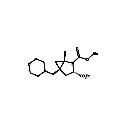 CCOC(=O)[C@@H]1C[C@]2(CN3CCOCC3)C[C@@H]2N1C(=O)OC(C)(C)C